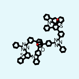 c1ccc(-c2cccc(-c3nc(-c4ccccc4)nc(-c4cc(-n5c6ccccc6c6cc7oc8c(-c9ccc(-c%10nc(-c%11ccccc%11)nc(-c%11cccc(-c%12cc(-c%13ccccc%13-n%13c%14ccccc%14c%14ccccc%14%13)cc%13c%12sc%12ccccc%12%13)c%11)n%10)cc9)cccc8c7cc65)cc5c4sc4ccccc45)n3)c2)cc1